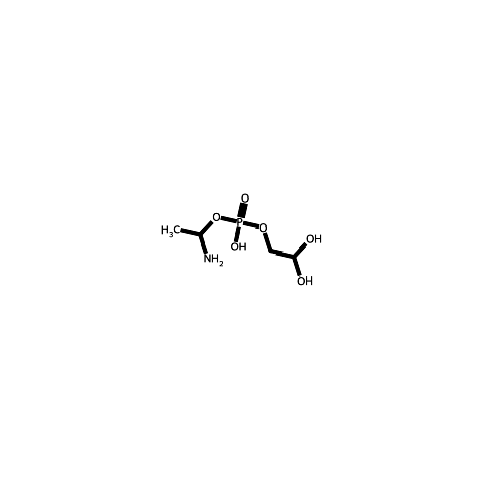 CC(N)OP(=O)(O)OCC(O)O